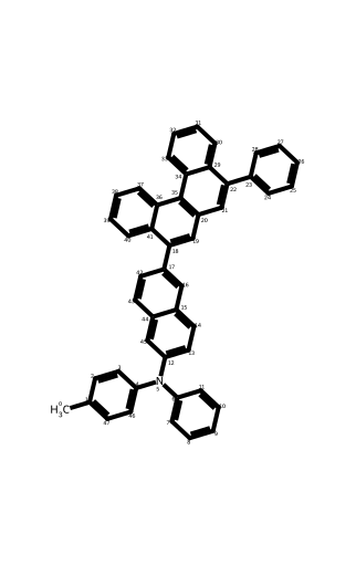 Cc1ccc(N(c2ccccc2)c2ccc3cc(-c4cc5cc(-c6ccccc6)c6ccccc6c5c5ccccc45)ccc3c2)cc1